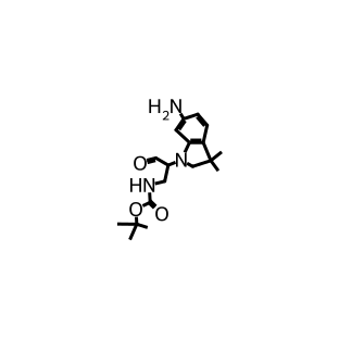 CC(C)(C)OC(=O)NCC(C=O)N1CC(C)(C)c2ccc(N)cc21